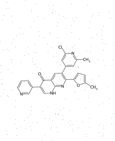 Cc1cc(-c2cc3c(=O)c(-c4cccnc4)c[nH]c3nc2-c2ccc(C)o2)cc(Cl)n1